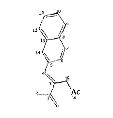 C=C(C)/C(=C/c1ccc2ccccc2c1)CC(C)=O